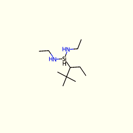 CCN[SiH](NCC)C(CC)C(C)(C)C